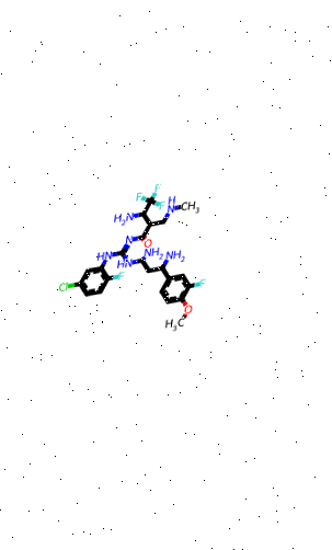 CNCC(C(=O)/N=C(/Nc1cc(Cl)ccc1F)NC(N)CC(N)c1ccc(OC)c(F)c1)C(N)C(F)(F)F